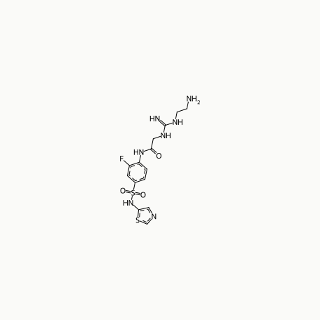 N=C(NCCN)NCC(=O)Nc1ccc(S(=O)(=O)Nc2cncs2)cc1F